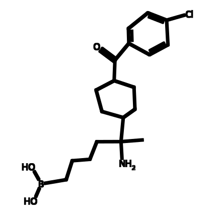 CC(N)(CCCCB(O)O)C1CCC(C(=O)c2ccc(Cl)cc2)CC1